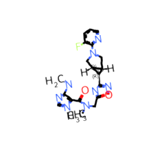 C=Nc1ncn(C)c1C(=O)N(C)Cc1nc([C@H]2[C@@H]3CN(c4ncccc4F)C[C@@H]32)no1